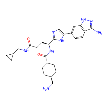 NC[C@H]1CC[C@H](C(=O)N[C@@H](CCC(=O)NCC2CC2)c2ncc(-c3ccc4c(N)n[nH]c4c3)[nH]2)CC1